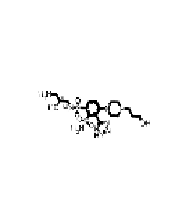 NC[C@H](O)CNS(=O)(=O)c1ccc(N2CCN(CCCO)CC2)c(-c2nnn[nH]2)c1S(N)(=O)=O